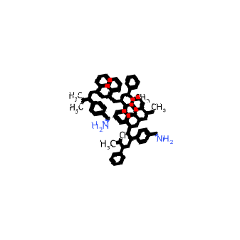 CCC(CC(CC(CC(CC(c1ccccc1)C(C)C)c1ccc(CN)cc1)c1ccccc1)c1ccc(C(CC(CC)c2ccccc2)CC(CC(CC(c2ccc(CN)cc2)C(C)C)c2ccccc2)c2ccccc2)cc1)c1ccccc1